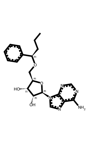 CCC[C@@H](OC[C@H]1O[C@@H](n2cnc3c(N)ncnc32)[C@H](O)[C@@H]1O)c1ccccc1